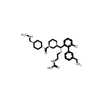 CCc1cccc(-c2c(Cl)cccc2[C@H](OCCNC(=O)O)[C@@H]2CCCN(C(=O)[C@H]3CC[C@H](CNC)CC3)C2)c1